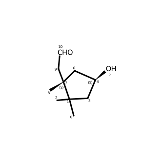 CC1(C)C[C@H](O)C[C@@]1(C)CC=O